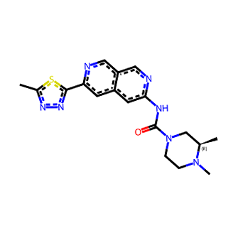 Cc1nnc(-c2cc3cc(NC(=O)N4CCN(C)[C@H](C)C4)ncc3cn2)s1